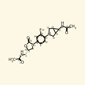 CC(=O)NC[C@H]1CN(c2ccc(N3CC4C(C3)C4NC(C)=O)c(F)c2)C(=O)O1